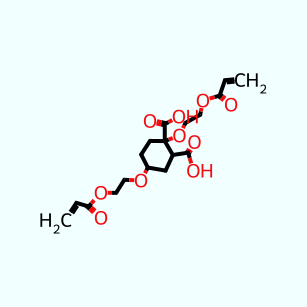 C=CC(=O)OCCOC1CCC(OCCOC(=O)C=C)(C(=O)O)C(C(=O)O)C1